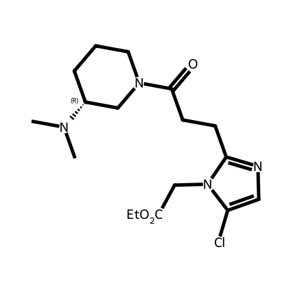 CCOC(=O)Cn1c(Cl)cnc1CCC(=O)N1CCC[C@@H](N(C)C)C1